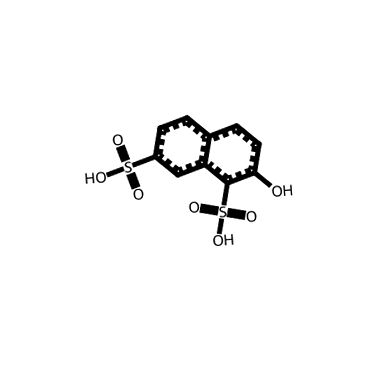 O=S(=O)(O)c1ccc2ccc(O)c(S(=O)(=O)O)c2c1